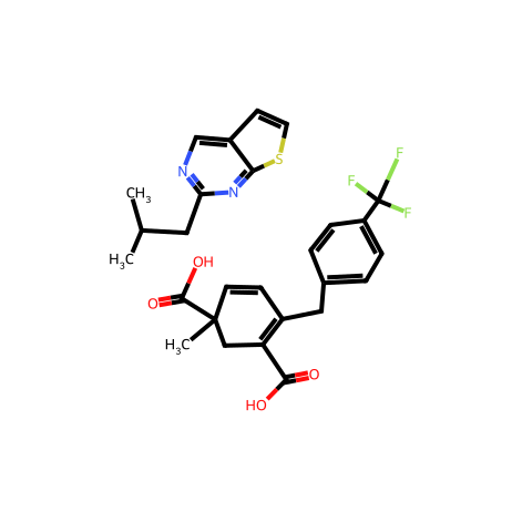 CC(C)Cc1ncc2ccsc2n1.CC1(C(=O)O)C=CC(Cc2ccc(C(F)(F)F)cc2)=C(C(=O)O)C1